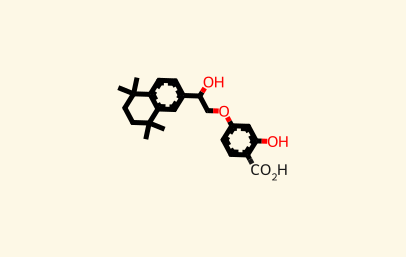 CC1(C)CCC(C)(C)c2cc(C(O)COc3ccc(C(=O)O)c(O)c3)ccc21